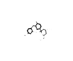 CCOc1ccc(Cc2cc(C3(OC)C[C@@H](O)C[C@@H](CO)O3)ccc2Cl)cc1